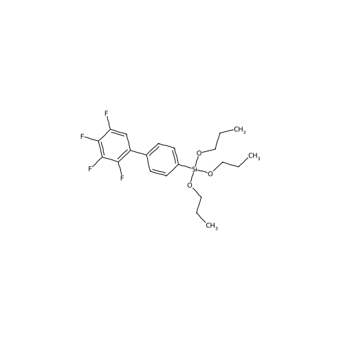 CCCO[Si](OCCC)(OCCC)c1ccc(-c2cc(F)c(F)c(F)c2F)cc1